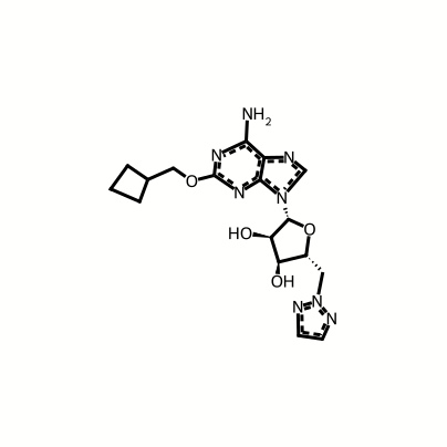 Nc1nc(OCC2CCC2)nc2c1ncn2[C@@H]1O[C@H](Cn2nccn2)[C@@H](O)[C@H]1O